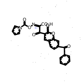 O=C(O)/C(=N/OC(=O)n1cccc1)C(=O)c1cc2ccc(C(=O)c3ccccc3)cc2oc1=O